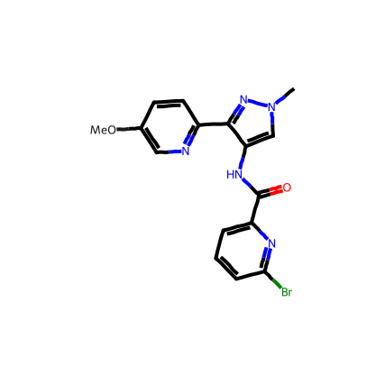 COc1ccc(-c2nn(C)cc2NC(=O)c2cccc(Br)n2)nc1